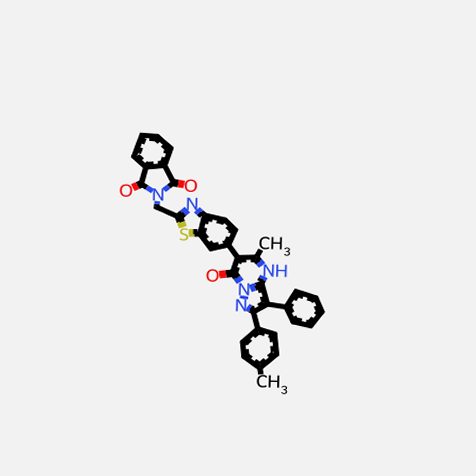 Cc1ccc(-c2nn3c(=O)c(-c4ccc5nc(CN6C(=O)c7ccccc7C6=O)sc5c4)c(C)[nH]c3c2-c2ccccc2)cc1